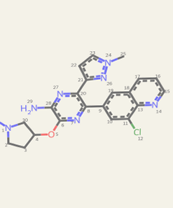 CN1CCC(Oc2nc(-c3cc(Cl)c4ncccc4c3)c(-c3ccn(C)n3)nc2N)C1